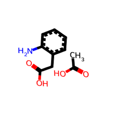 CC(=O)O.Nc1ccccc1CC(=O)O